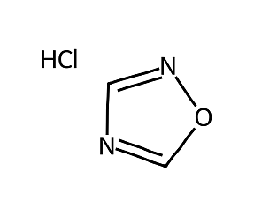 Cl.c1ncon1